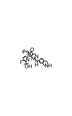 CC(C)n1c(=O)c2cnc(Nc3ccc4c(c3)CNCC4)nc2n1-c1ccc(F)c(C(C)(C)O)n1